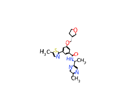 Cc1cnc(C(C)NC(=O)c2cc(OC[C@@H]3CCOC3)cc(-c3ncc(C)s3)c2)cn1